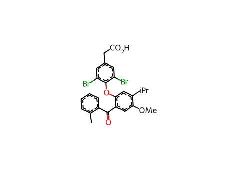 COc1cc(C(=O)c2ccccc2C)c(Oc2c(Br)cc(CC(=O)O)cc2Br)cc1C(C)C